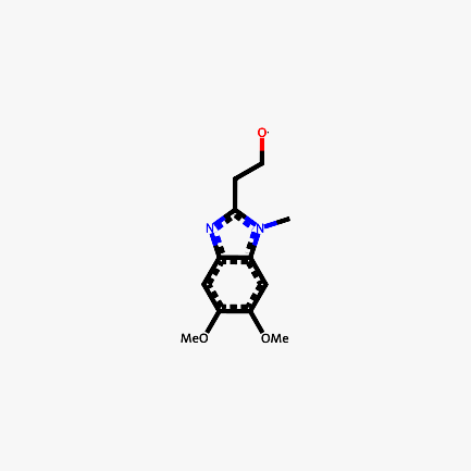 COc1cc2nc(CC[O])n(C)c2cc1OC